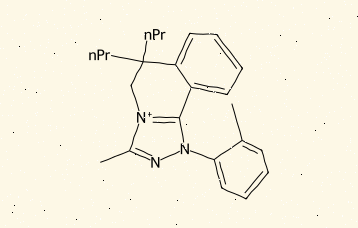 CCCC1(CCC)C[n+]2c(C)nn(-c3ccccc3C)c2-c2ccccc21